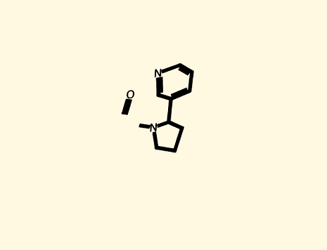 C=O.CN1CCCC1c1cccnc1